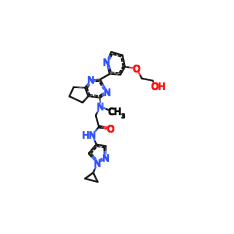 CN(CC(=O)Nc1cnn(C2CC2)c1)c1nc(-c2cc(OCCO)ccn2)nc2c1CCC2